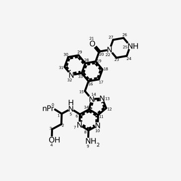 CCCC(CCO)Nc1nc(N)nc2cnn(Cc3ccc(C(=O)N4CCNCC4)c4cccnc34)c12